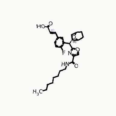 CCCCCCCCNC(=O)c1coc(C(c2cc(/C=C/C(=O)O)ccc2F)[C@H]2CC3CCC2O3)n1